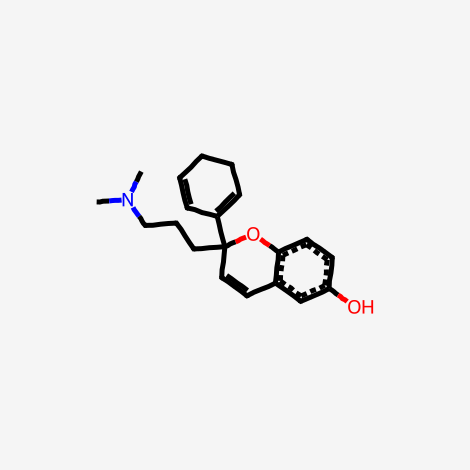 CN(C)CCCC1(C2=CCCC=C2)C=Cc2cc(O)ccc2O1